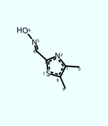 Cc1nc(/[C]=N/O)sc1C